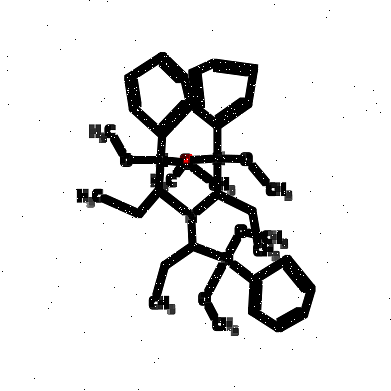 CCC(N(C(CC)[Si](OC)(OC)c1ccccc1)C(CC)[Si](OC)(OC)c1ccccc1)[Si](OC)(OC)c1ccccc1